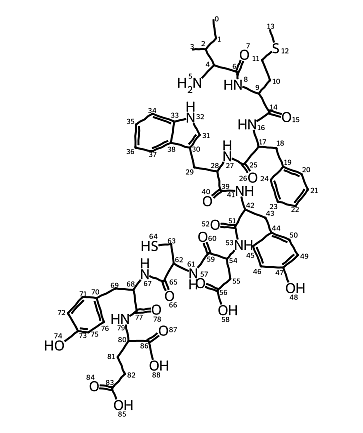 CCC(C)C(N)C(=O)NC(CCSC)C(=O)NC(Cc1ccccc1)C(=O)NC(Cc1c[nH]c2ccccc12)C(=O)NC(Cc1ccc(O)cc1)C(=O)NC(CC(=O)O)C(=O)NC(CS)C(=O)NC(Cc1ccc(O)cc1)C(=O)NC(CCC(=O)O)C(=O)O